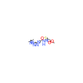 CCOC(=O)Cc1csc(NC(=O)C2CN(c3cc(-n4nc(C)cc4C)ncn3)C2)n1